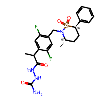 CC(C(=O)NNC(N)=O)c1cc(F)c(CN2[C@@H](C)CC[C@H](c3ccccc3)S2(=O)=O)cc1F